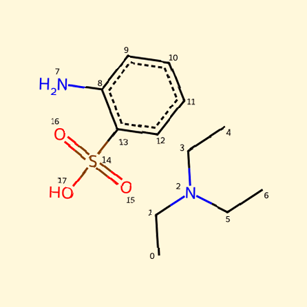 CCN(CC)CC.Nc1ccccc1S(=O)(=O)O